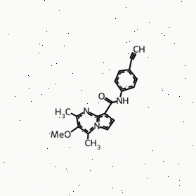 C#Cc1ccc(NC(=O)c2ccn3c(C)c(OC)c(C)nc23)cc1